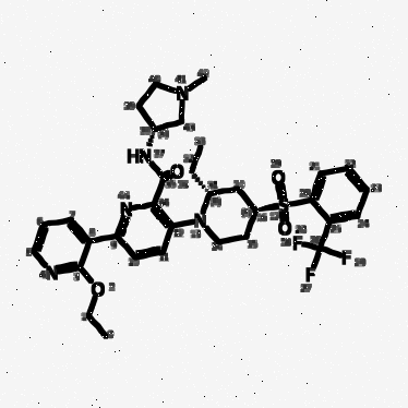 CCOc1ncccc1-c1ccc(N2CC[C@H](S(=O)(=O)c3ccccc3C(F)(F)F)C[C@H]2CC)c(C(=O)N[C@@H]2CCN(C)C2)n1